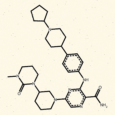 CN1CCCN(C2CCCN(c3cnc(C(N)=O)c(Nc4ccc(C5CCN(C6CCCC6)CC5)cc4)n3)C2)C1=O